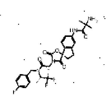 C[C@H](N(Cc1ccc(F)cc1)C(=O)CN1C(=O)O[C@@]2(CCc3cc(NC(=O)C(C)(C)N)ccc32)C1=O)C(F)(F)F